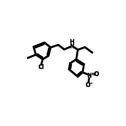 CCC(NCCc1ccc(C)c(Cl)c1)c1cccc([N+](=O)[O-])c1